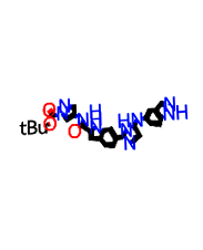 CC(C)(C)OC(=O)n1cc(NC(=O)C2=CC3C=CC(c4nccc(Nc5ccc6[nH]ncc6c5)n4)=CC3N2)cn1